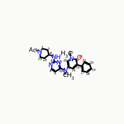 CC(=O)N1CCC(Nc2nccc(N(C)c3cc(-c4ccccc4)c(=O)n(C)c3)n2)CC1